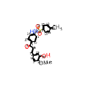 COc1ccc(C=CC(=O)c2ccc(NS(=O)(=O)c3ccc(C)cc3)cc2)cc1O